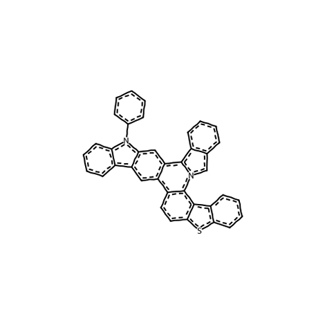 c1ccc(-n2c3ccccc3c3cc4c(cc32)c2c3ccccc3cn2c2c4ccc3sc4ccccc4c32)cc1